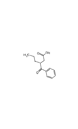 CCCC(CC(=O)O)C(=O)c1ccccc1